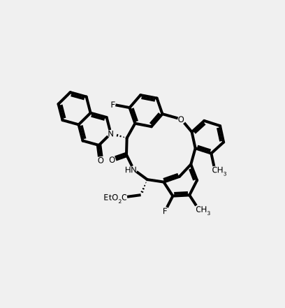 CCOC(=O)C[C@@H]1NC(=O)[C@H](n2cc3ccccc3cc2=O)c2cc(ccc2F)Oc2cccc(C)c2-c2cc(C)c(F)c1c2